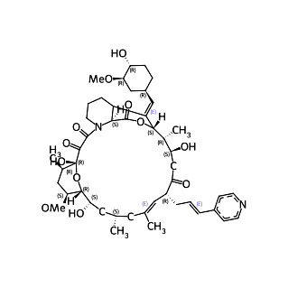 CO[C@H]1C[C@@H](C)[C@@]2(O)O[C@@H]1[C@@H](O)C[C@@H](C)C/C(C)=C/[C@@H](C/C=C/c1ccncc1)C(=O)C[C@H](O)[C@@H](C)[C@@H]1OC(=O)[C@@H]3C(CCCN3C(=O)C2=O)/C1=C\[C@@H]1CC[C@@H](O)[C@H](OC)C1